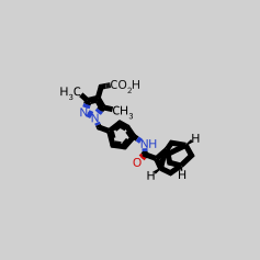 Cc1nn(Cc2ccc(NC(=O)C3C4C[C@H]5C[C@@H](C4)C[C@@H]3C5)cc2)c(C)c1CC(=O)O